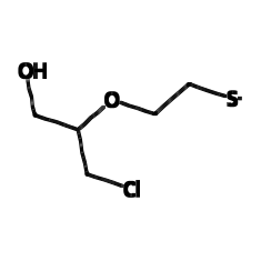 OCC(CCl)OCC[S]